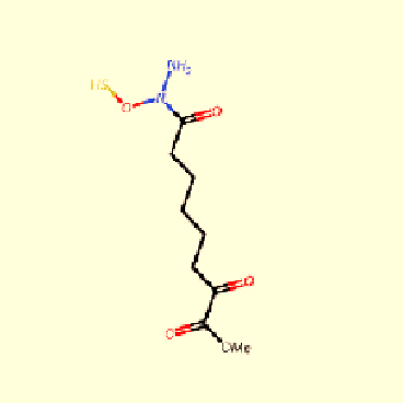 COC(=O)C(=O)CCCCCC(=O)N(N)OS